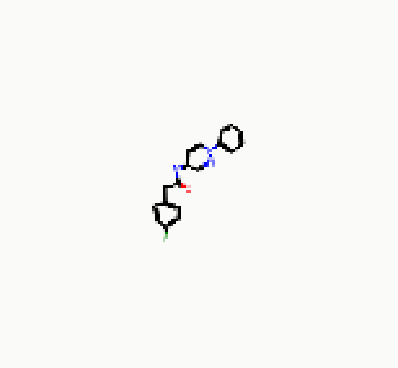 O=C(Cc1ccc(F)cc1)/N=c1/ccn(-c2ccccc2)nc1